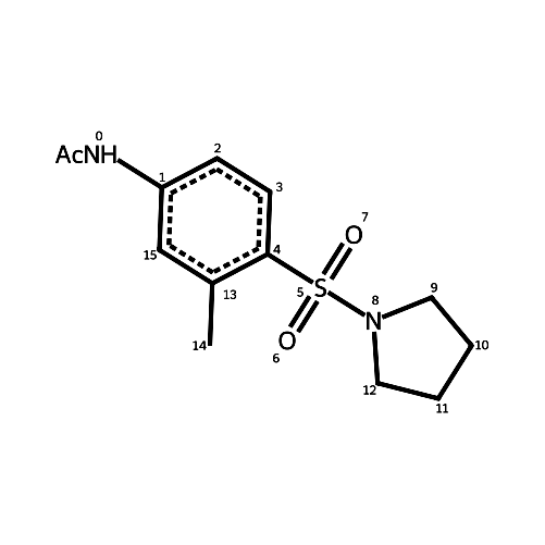 CC(=O)Nc1ccc(S(=O)(=O)N2CCCC2)c(C)c1